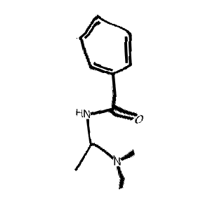 CC(NC(=O)c1c[c]ccc1)N(C)C